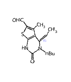 C/C=C1\c2c(sc(C=O)c2C)NC(=O)N1CCCC